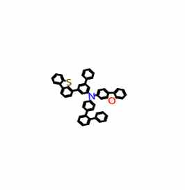 c1ccc(-c2cc(-c3cccc4c3sc3ccccc34)cc(N(c3ccc(-c4ccccc4-c4ccccc4)cc3)c3ccc4c(c3)oc3ccccc34)c2)cc1